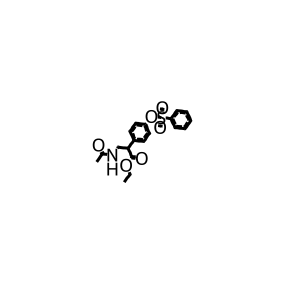 CCOC(=O)C(CNC(C)=O)c1ccc(OS(=O)(=O)c2ccccc2)cc1